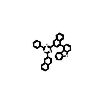 C1=CC(c2cc(-c3nc(-c4ccccc4)nc(-c4ccc5ccccc5c4)n3)cc3ccccc23)=C2c3ccccc3OC2C1